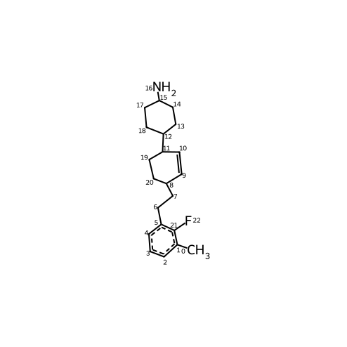 Cc1cccc(CCC2C=CC(C3CCC(N)CC3)CC2)c1F